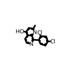 Cc1cc(O)c2ccnc(-c3ccc(Cl)cc3Cl)c2n1